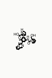 Cc1ccc(NC(=O)N2C3CCCC2(CO)C3)cc1-c1ncc2cccn2n1.O=C(O)C12CC(CCN1)C2